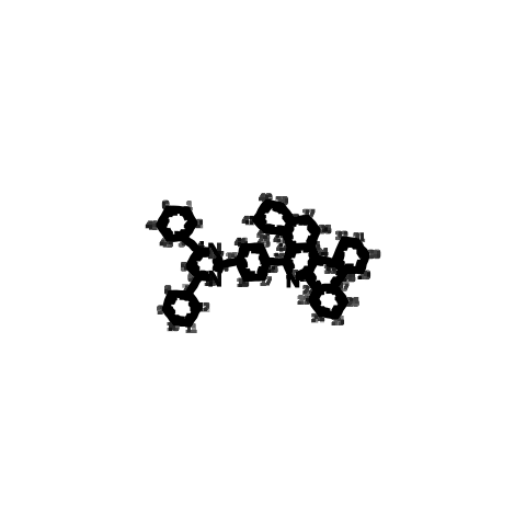 c1ccc(-c2cc(-c3ccccc3)nc(-c3ccc(-c4nc5c6ccccc6c6ccccc6c5c5ccc6ccccc6c45)cc3)n2)cc1